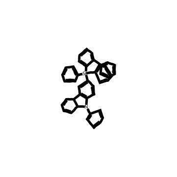 C1=CC2c3cc([Si](c4ccccc4)(c4ccccc4)c4ccccc4-c4ccccc4)ccc3N(c3ccccc3)C2C=C1